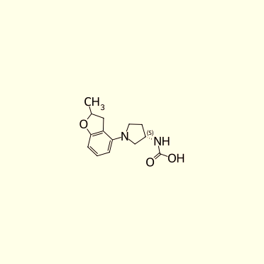 CC1Cc2c(cccc2N2CC[C@H](NC(=O)O)C2)O1